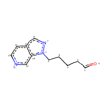 O=CCCCCn1ncc2ccncc21